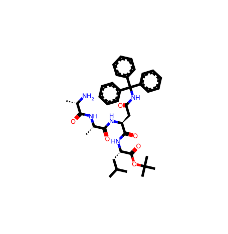 CC(C)C[C@H](NC(=O)[C@H](CC(=O)NC(c1ccccc1)(c1ccccc1)c1ccccc1)NC(=O)[C@H](C)NC(=O)[C@H](C)N)C(=O)OC(C)(C)C